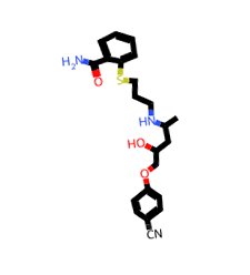 CC(CC(O)COc1ccc(C#N)cc1)NCCCSc1ccccc1C(N)=O